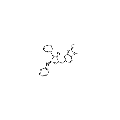 Cn1c(=O)sc2cc(C=C3SC(=Nc4ccccc4)N(c4ccccc4)C3=O)ccc21